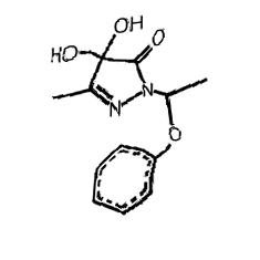 CC1=NN(C(C)Oc2ccccc2)C(=O)C1(O)O